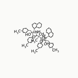 Cc1ccc(CC(O)(Cc2ccc(C)cc2)[C@@H](NC(=O)C(C)(C)C(=O)N[C@@H](c2cccc3ccccc23)C(O)(Cc2ccc(C)cc2)Cc2ccc(C)cc2)c2cccc3ccccc23)cc1